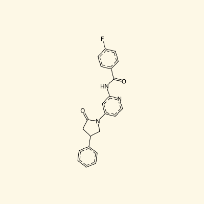 O=C(Nc1cc(N2CC(c3ccccc3)CC2=O)ccn1)c1ccc(F)cc1